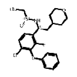 CC(C)(C)C[S@@+]([O-])N[C@@H](CC1CCOCC1)c1ccc(Cl)c(Oc2ccccc2)c1F